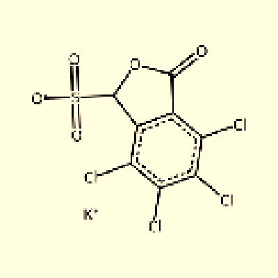 O=C1OC(S(=O)(=O)[O-])c2c(Cl)c(Cl)c(Cl)c(Cl)c21.[K+]